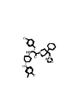 Cc1cc(N[C@H]2CC[C@H](N[C@H](Cc3ccc(Cl)cc3)C(=O)N3CCC(Cn4cncn4)(C4CCCCC4)CC3)CC2)ccc1F